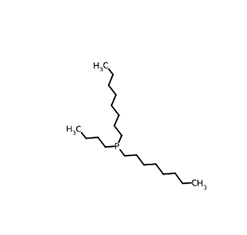 CCCCCCCCP(CCCC)CCCCCCCC